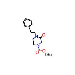 CC(C)(C)OC(=O)N1CCN(CCc2ccccc2)C(=O)C1